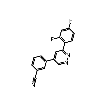 N#Cc1cccc(-c2cnnc(-c3ccc(F)cc3F)c2)c1